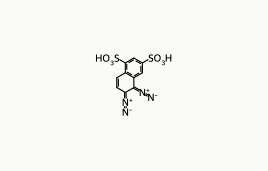 [N-]=[N+]=C1C=Cc2c(cc(S(=O)(=O)O)cc2S(=O)(=O)O)C1=[N+]=[N-]